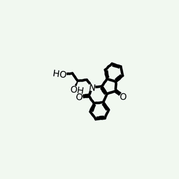 O=C1c2ccccc2-c2c1c1ccccc1c(=O)n2C[C@@H](O)CO